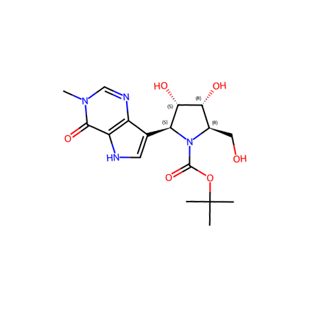 Cn1cnc2c([C@H]3[C@H](O)[C@H](O)[C@@H](CO)N3C(=O)OC(C)(C)C)c[nH]c2c1=O